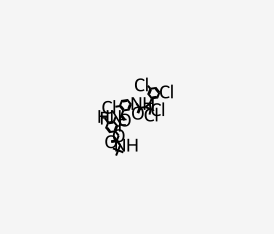 CC(C)(C)NC(=O)Oc1ccc(F)c(NC(=O)c2cc(NC(=O)C3C(c4cc(Cl)cc(Cl)c4)C3(Cl)Cl)ccc2Cl)c1F